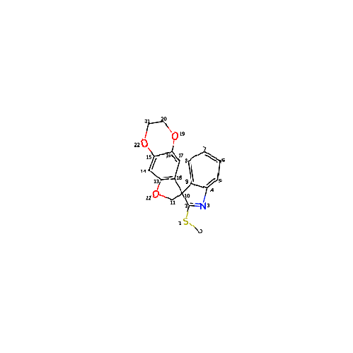 CSC1=Nc2ccccc2C12COc1cc3c(cc12)OCCO3